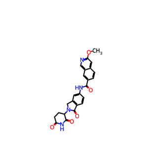 COc1cc2ccc(C(=O)Nc3ccc4c(c3)CN(C3CCC(=O)NC3=O)C4=O)cc2cn1